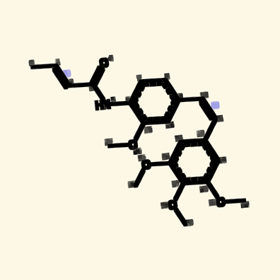 C/C=C/C(=O)Nc1ccc(/C=C\c2cc(OC)c(OC)c(OC)c2)cc1OC